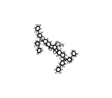 CC(C)c1c(C(C)C)c2c3cc4ccc(N(c5ccc(-c6ccccc6)cc5)c5cccc(-c6ccccc6)c5)cc4cc3oc2c2oc3cc4cc(N(c5ccc(-c6ccccc6)cc5)c5cccc(-c6ccccc6)c5)ccc4cc3c12